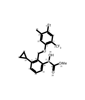 CCc1cc(C(F)(F)F)c(OCc2c(C3CC3)cccc2N(O)C(=O)OC)cc1C